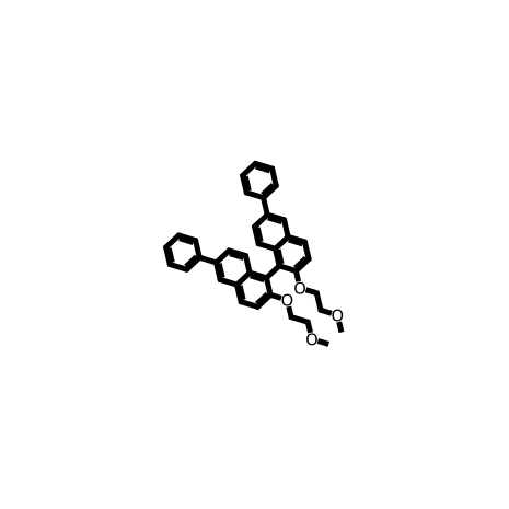 COCCOc1ccc2cc(-c3ccccc3)ccc2c1-c1c(OCCOC)ccc2cc(-c3ccccc3)ccc12